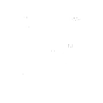 CCOc1ccc([C@H](COC)NC(=O)C2CC23CCc2cc(F)ccc23)cc1